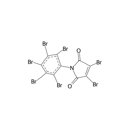 O=C1C(Br)=C(Br)C(=O)N1c1c(Br)c(Br)c(Br)c(Br)c1Br